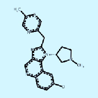 Cc1cnc(Cc2nc3cnc4ccc(Cl)cc4c3n2[C@@H]2CCN(C)C2)cn1